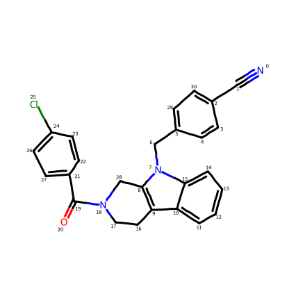 N#Cc1ccc(Cn2c3c(c4ccccc42)CCN(C(=O)c2ccc(Cl)cc2)C3)cc1